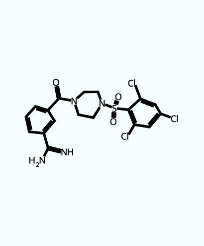 N=C(N)c1cccc(C(=O)N2CCN(S(=O)(=O)c3c(Cl)cc(Cl)cc3Cl)CC2)c1